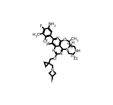 CC[C@@H]1CN2c3nc(OCC4(CN5CC(F)C5)CC4)nc4c(F)c(-c5cc(N)c(F)c(C)c5C(F)(F)F)nc(c34)O[C@@H](C)[C@@H]2CN1